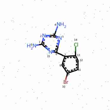 Nc1nc(N)nc(-c2cc(Br)ccc2Cl)n1